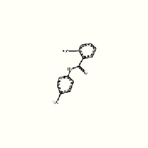 Cc1ccc(NC(=O)c2ccccc2C(F)(F)F)cc1